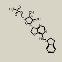 NS(=O)(=O)OC[C@H]1O[C@@H](C2CSc3c(N[C@H]4CCc5ccccc54)ncnc32)[C@H](O)[C@@H]1O